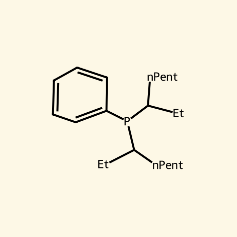 CCCCCC(CC)P(c1ccccc1)C(CC)CCCCC